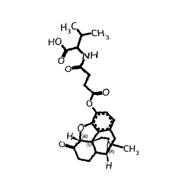 CC(C)C(NC(=O)CCC(=O)Oc1ccc2c3c1O[C@H]1C(=O)CCC4[C@@H](C2)N(C)CC[C@@]341)C(=O)O